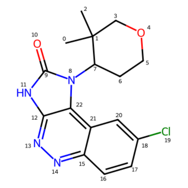 CC1(C)COCCC1n1c(=O)[nH]c2nnc3ccc(Cl)cc3c21